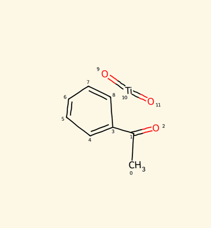 CC(=O)c1ccccc1.[O]=[Ti]=[O]